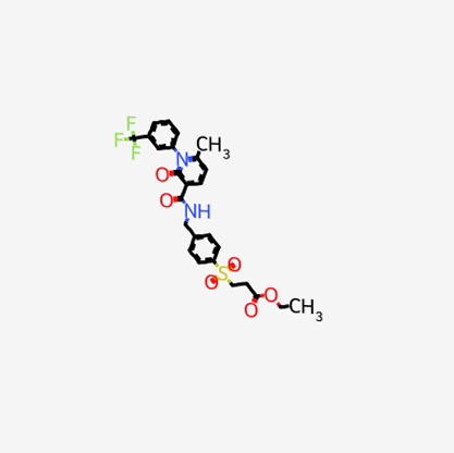 CCOC(=O)CCS(=O)(=O)c1ccc(CNC(=O)c2ccc(C)n(-c3cccc(C(F)(F)F)c3)c2=O)cc1